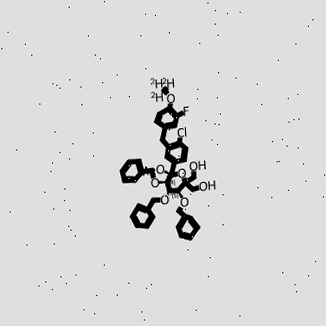 [2H]C([2H])([2H])Oc1ccc(Cc2cc([C@]3(OC)OC(CO)(CO)[C@@H](OCc4ccccc4)[C@H](OCc4ccccc4)[C@H]3OCc3ccccc3)ccc2Cl)cc1F